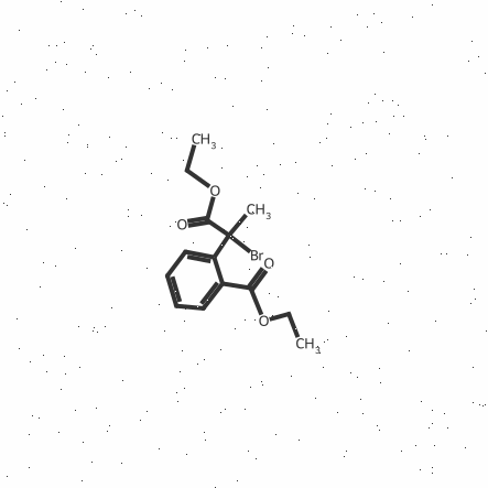 CCOC(=O)c1ccccc1C(C)(Br)C(=O)OCC